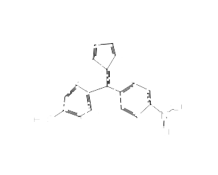 CCN(CC)c1ccc(C(=C2C=CC=C2)c2ccc(C)cc2)cc1